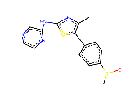 Cc1nc(Nc2cnccn2)sc1-c1ccc([S+](C)[O-])cc1